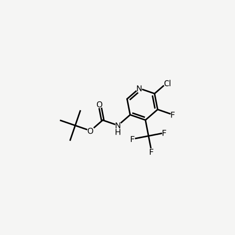 CC(C)(C)OC(=O)Nc1cnc(Cl)c(F)c1C(F)(F)F